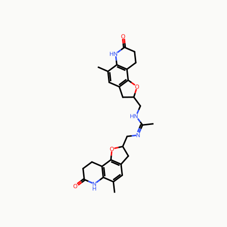 CC(=NCC1Cc2cc(C)c3c(c2O1)CCC(=O)N3)NCC1Cc2cc(C)c3c(c2O1)CCC(=O)N3